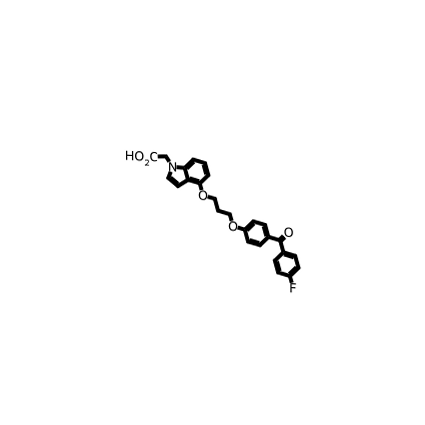 O=C(O)Cn1ccc2c(OCCCOc3ccc(C(=O)c4ccc(F)cc4)cc3)cccc21